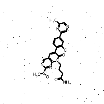 Cc1cncc(-c2ccc(-c3cc4cnc([S+](C)[O-])nc4n(CCCC(N)=O)c3=O)c(Cl)c2)n1